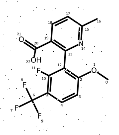 COc1ccc(C(F)(F)F)c(F)c1-c1nc(C)ccc1C(=O)O